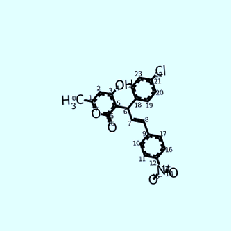 Cc1cc(O)c(C(C=Cc2ccc([N+](=O)[O-])cc2)c2ccc(Cl)cc2)c(=O)o1